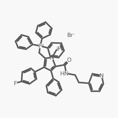 CC(C)n1c(C[P+](c2ccccc2)(c2ccccc2)c2ccccc2)c(-c2ccc(F)cc2)c(-c2ccccc2)c1C(=O)NCCc1cccnc1.[Br-]